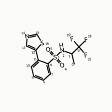 CC(NS(=O)(=O)c1ccccc1-c1cncs1)C(F)(F)F